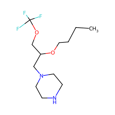 CCCCOC(COC(F)(F)F)CN1CCNCC1